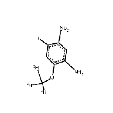 [2H]C([2H])([2H])Oc1cc(F)c([N+](=O)[O-])cc1N